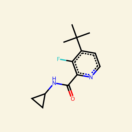 CC(C)(C)c1ccnc(C(=O)NC2CC2)c1F